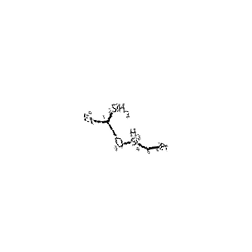 [CH2]CC([SiH3])O[SiH2]CC(C)C